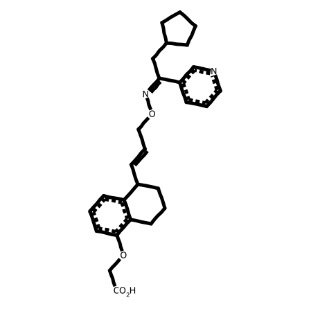 O=C(O)COc1cccc2c1CCCC2C=CCON=C(CC1CCCC1)c1cccnc1